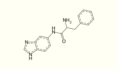 NC(Cc1ccccc1)C(=O)Nc1ccc2[nH]cnc2c1